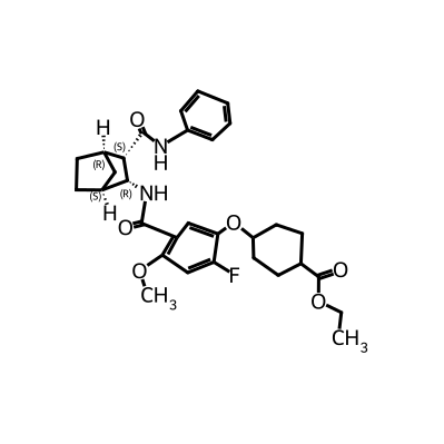 CCOC(=O)C1CCC(Oc2cc(C(=O)N[C@@H]3[C@H]4CC[C@H](C4)[C@@H]3C(=O)Nc3ccccc3)c(OC)cc2F)CC1